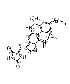 COc1cccc([C@H](C)Nc2nc(NC3CC3)n3ncc(/C=C4\NC(=O)NC4=O)c3n2)c1